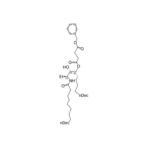 CCCCCCCCCCCCCCCCCC(=O)N[C@@H](CC)[C@H](O)[C@@H](CCCCCCCCCCCCCC)OC(=O)CCC(=O)OCc1ccccc1